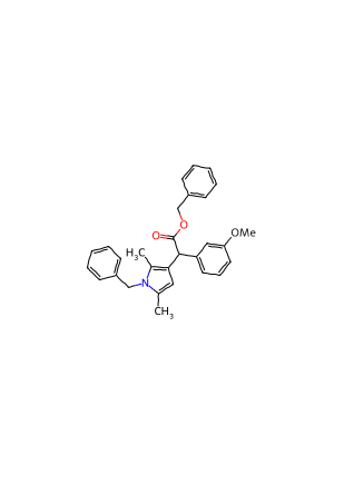 COc1cccc(C(C(=O)OCc2ccccc2)c2cc(C)n(Cc3ccccc3)c2C)c1